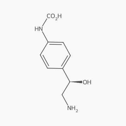 NC[C@H](O)c1ccc(NC(=O)O)cc1